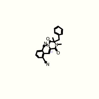 CN1C(=O)C(C)(Cc2ccccc2)N(C)C(=O)/C1=C/c1c(C#N)cccc1C#N